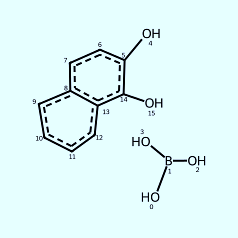 OB(O)O.Oc1ccc2ccccc2c1O